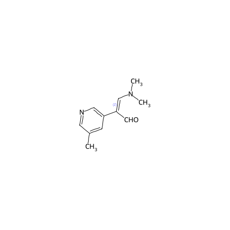 Cc1cncc(/C(C=O)=C/N(C)C)c1